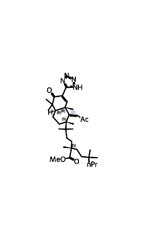 CCCC(C)(C)CC[C@@](C)(CCC(C)(C)[C@]1(C)CC[C@H]2C(C)(C)C(=O)C(c3nnn[nH]3)=C[C@]2(C)/C1=C/C(C)=O)C(=O)OC